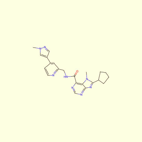 Cn1cc(-c2ccnc(CNC(=O)c3ncnc4nc(C5CCCC5)n(C)c34)c2)cn1